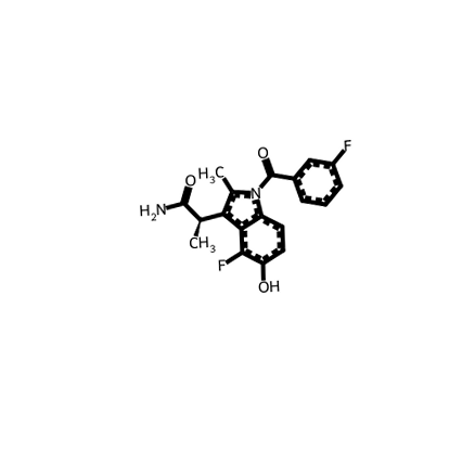 Cc1c([C@@H](C)C(N)=O)c2c(F)c(O)ccc2n1C(=O)c1cccc(F)c1